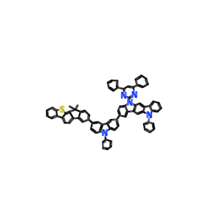 CC1(C)c2ccc(-c3ccc4c(c3)c3cc(-c5ccc6c(c5)c5cc7c(cc5n6-c5nc(-c6ccccc6)cc(-c6ccccc6)n5)c5ccccc5n7-c5ccccc5)ccc3n4-c3ccccc3)cc2-c2ccc3c(sc4ccccc43)c21